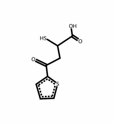 O=C(CC(S)C(=O)O)c1cccs1